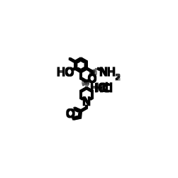 Cc1ccc2c(c1O)C[C@@H](C1CCN(Cc3ccoc3)CC1)O[C@H]2CN.Cl.Cl